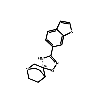 c1cc2ccc(C3=NO[C@@]4(CN5CCC4CC5)N3)cc2s1